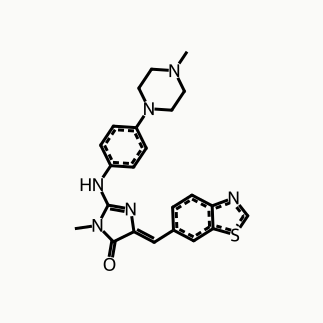 CN1CCN(c2ccc(NC3=N/C(=C\c4ccc5ncsc5c4)C(=O)N3C)cc2)CC1